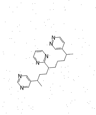 CC(CCCC(CCC(C)c1cncnc1)c1ncccn1)c1ccnnc1